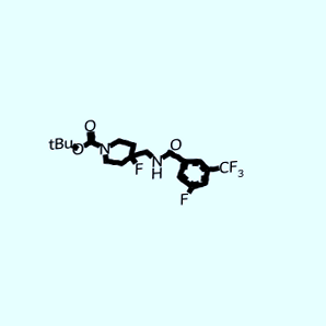 CC(C)(C)OC(=O)N1CCC(F)(CNC(=O)c2cc(F)cc(C(F)(F)F)c2)CC1